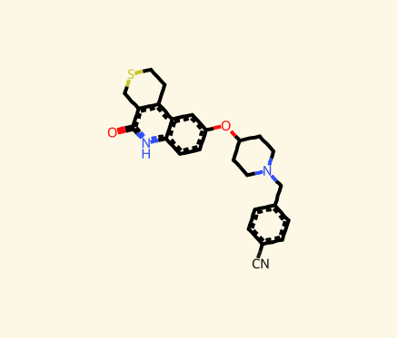 N#Cc1ccc(CN2CCC(Oc3ccc4[nH]c(=O)c5c(c4c3)CCSC5)CC2)cc1